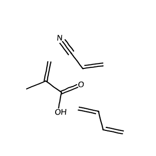 C=C(C)C(=O)O.C=CC#N.C=CC=C